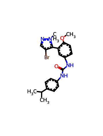 COc1ccc(NC(=O)Nc2ccc(C(C)C)cc2)cc1-c1c(Br)cnn1C